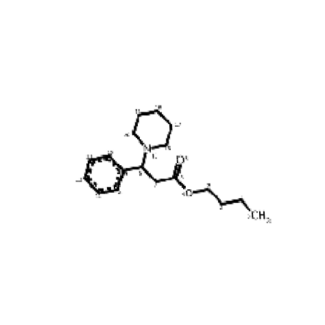 CCCCOC(=O)CC(c1ccccc1)N1CCCCC1